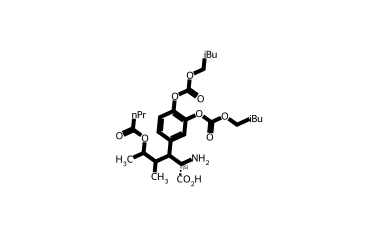 CCCC(=O)OC(C)C(C)C(c1ccc(OC(=O)OCC(C)CC)c(OC(=O)OCC(C)CC)c1)[C@H](N)C(=O)O